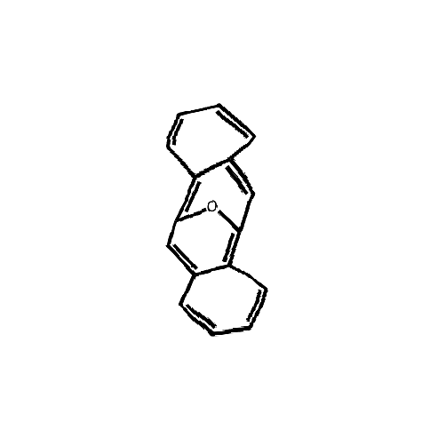 C1=c2ccccc2=C2C=c3ccccc3=C1O2